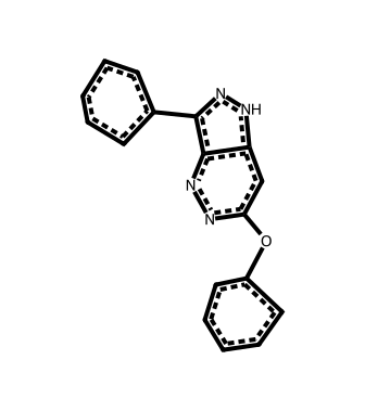 c1ccc(Oc2cc3[nH]nc(-c4ccccc4)c3nn2)cc1